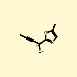 CC#C[C@H](O)c1ncc(C)o1